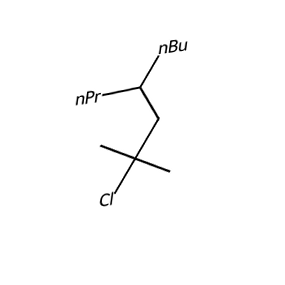 CCCCC(CCC)CC(C)(C)Cl